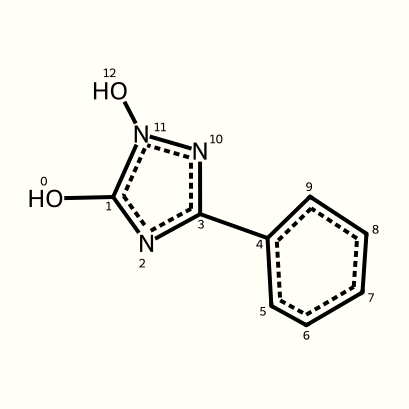 Oc1nc(-c2ccccc2)nn1O